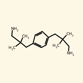 CC(C)(CN)Cc1ccc(CC(C)(C)CN)cc1